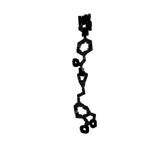 O=C1OCc2cc(CCC3C4CN(C(=O)Cc5ccc(-n6cnnn6)cc5)CC34)ccc21